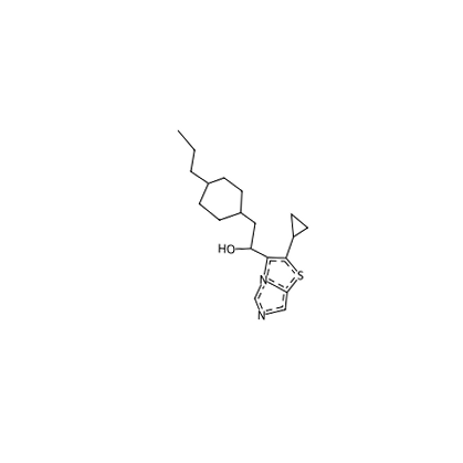 CCCC1CCC(CC(O)c2c(C3CC3)sc3cncn23)CC1